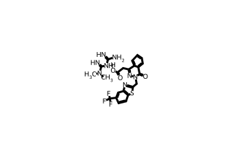 CN(C)C(=N)NC(=N)N.O=C(O)Cc1nn(Cc2nc3cc(C(F)(F)F)ccc3s2)c(=O)c2ccccc12